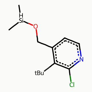 C[SiH](C)OCc1ccnc(Cl)c1C(C)(C)C